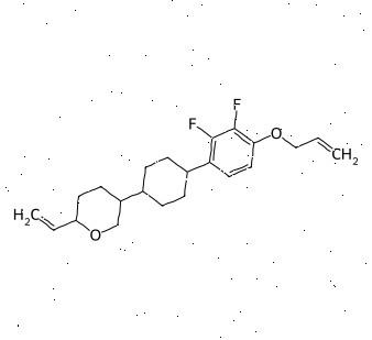 C=CCOc1ccc(C2CCC(C3CCC(C=C)OC3)CC2)c(F)c1F